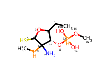 CCC1OC(S)C(N)(PC)[C@H]1O[PH](O)(O)OC